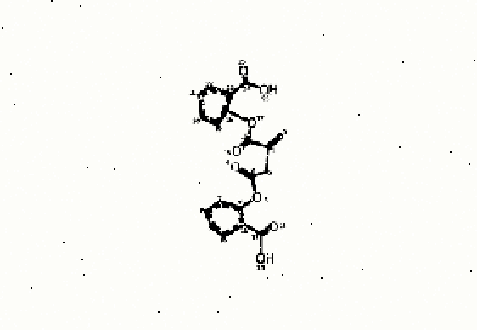 C=C(CC(=O)Oc1ccccc1C(=O)O)C(=O)Oc1ccccc1C(=O)O